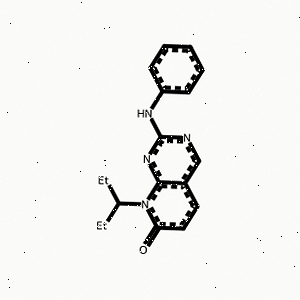 CCC(CC)n1c(=O)ccc2cnc(Nc3ccccc3)nc21